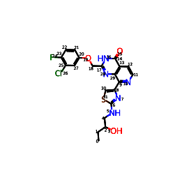 CCC(O)CNc1nc(-c2nccc3c(=O)[nH]c(COc4ccc(F)c(Cl)c4)nc23)cs1